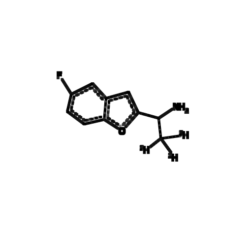 [2H]C([2H])([2H])C(N)c1cc2cc(F)ccc2o1